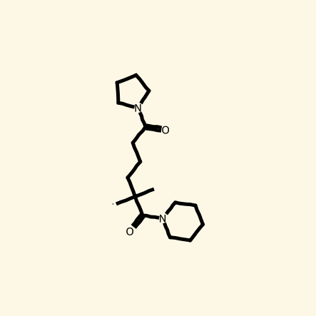 [CH2]C(C)(CCCC(=O)N1CCCC1)C(=O)N1CCCCC1